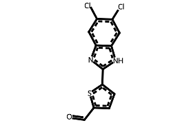 O=Cc1ccc(-c2nc3cc(Cl)c(Cl)cc3[nH]2)s1